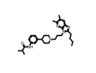 CCCCc1nc2cc(C)c(C)nc2n1CCCN1CCC(c2cccc(NC(=O)C(C)C)c2)CC1